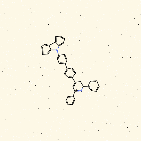 C1=C(c2ccc(-c3ccc(-n4c5ccccc5c5ccccc54)cc3)cc2)CC(c2ccccc2)N=C1c1ccccc1